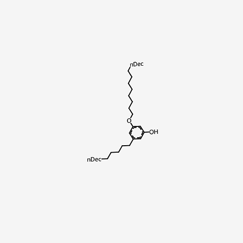 CCCCCCCCCCCCCCCCCCOc1cc(O)cc(CCCCCCCCCCCCCCC)c1